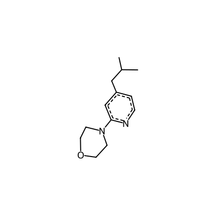 CC(C)Cc1ccnc(N2CCOCC2)c1